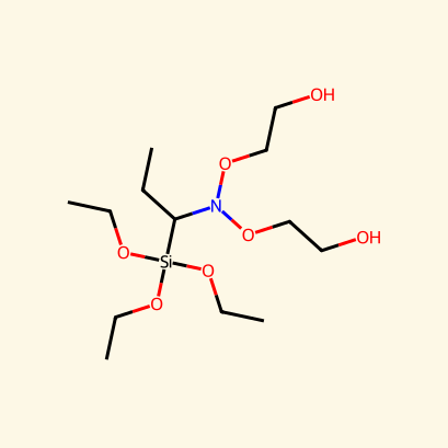 CCO[Si](OCC)(OCC)C(CC)N(OCCO)OCCO